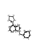 c1ccc(Cn2cnc3c(N4CCCC4)ncnc32)cc1